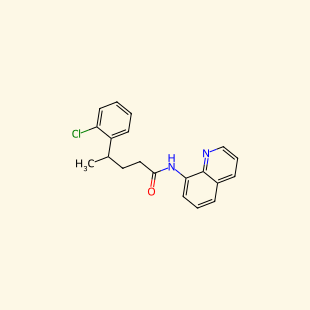 CC(CCC(=O)Nc1cccc2cccnc12)c1ccccc1Cl